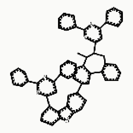 CC1c2ccc(-c3ccc4oc5cccc(-c6cc(-c7ccccc7)nc(-c7ccccc7)n6)c5c4c3)cc2-c2ccccc2CC1c1cc(-c2ccccc2)nc(-c2ccccc2)n1